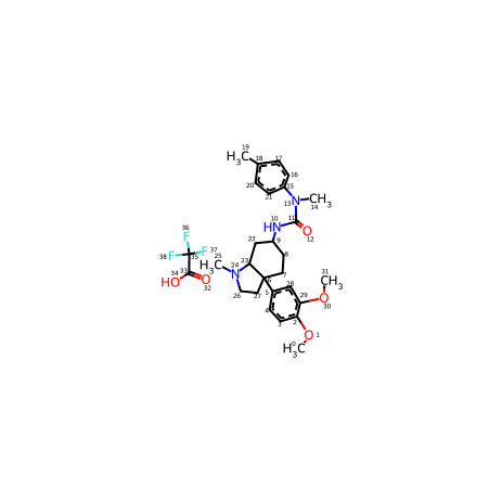 COc1ccc(C23CCC(NC(=O)N(C)c4ccc(C)cc4)CC2N(C)CC3)cc1OC.O=C(O)C(F)(F)F